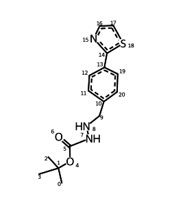 CC(C)(C)OC(=O)NNCc1ccc(-c2nccs2)cc1